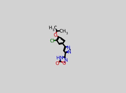 CC(C)Oc1ccc(-c2cc(-c3noc(=O)[nH]3)ncn2)cc1Cl